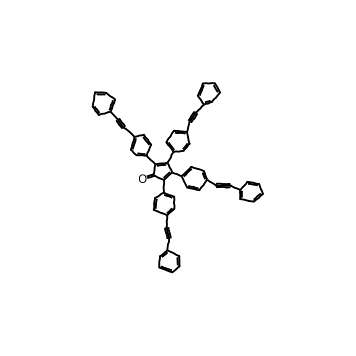 O=C1C(c2ccc(C#Cc3ccccc3)cc2)=C(c2ccc(C#Cc3ccccc3)cc2)C(c2ccc(C#Cc3ccccc3)cc2)=C1c1ccc(C#Cc2ccccc2)cc1